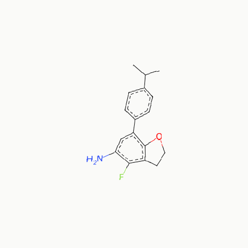 CC(C)c1ccc(-c2cc(N)c(F)c3c2OCC3)cc1